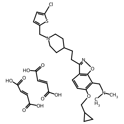 CN(C)Cc1c(OCC2CC2)ccc2c(CCC3CCN(Cc4ccc(Cl)s4)CC3)noc12.O=C(O)C=CC(=O)O.O=C(O)C=CC(=O)O